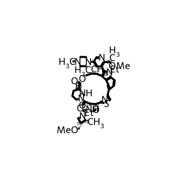 CCO[C@@H]1c2nc(cs2)-c2ccc3c(c2)c(c(-c2cc(N4CCN(C)CC4)cnc2[C@H](C)OC)n3CC)CC(C)(C)COC(=O)[C@@H]2CCCN(N2)C(=O)[C@H]1NC(=O)N1C[C@@H](COC)[C@H]1C